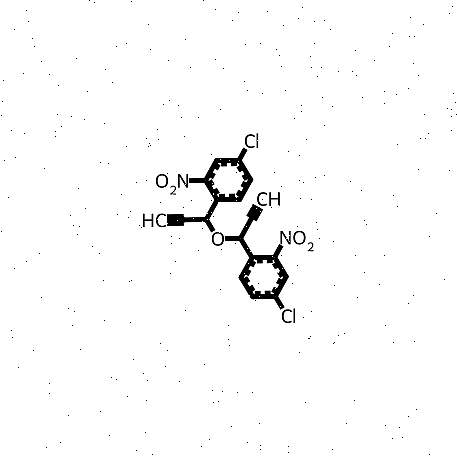 C#CC(OC(C#C)c1ccc(Cl)cc1[N+](=O)[O-])c1ccc(Cl)cc1[N+](=O)[O-]